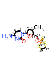 C[C@H]1C[C@H](n2ccc(N)nc2=O)O[C@@H]1COP1(=S)SCCS1